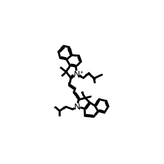 CC(C)CCN1/C(=C/C=C/C2=[N+](CCC(C)C)c3ccc4ccccc4c3C2(C)C)C(C)(C)c2c1ccc1ccccc21